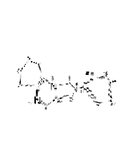 C1=NC2=C(CCCC2)N2CN(c3ccccc3)C=C12